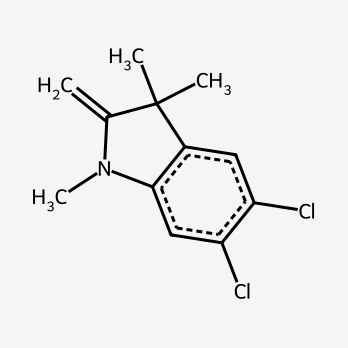 C=C1N(C)c2cc(Cl)c(Cl)cc2C1(C)C